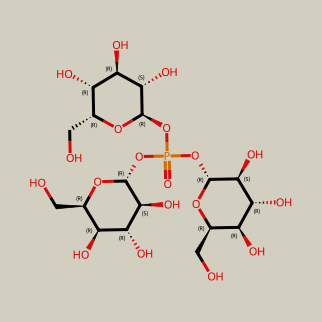 O=P(O[C@H]1O[C@H](CO)[C@H](O)[C@@H](O)[C@@H]1O)(O[C@H]1O[C@H](CO)[C@H](O)[C@@H](O)[C@@H]1O)O[C@H]1O[C@H](CO)[C@H](O)[C@@H](O)[C@@H]1O